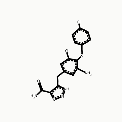 NC(=O)c1nn[nH]c1Cc1cc(N)c(Sc2ccc(Cl)cc2)c(Cl)c1